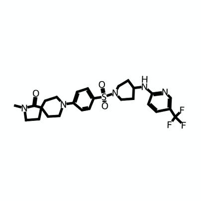 CN1CCC2(CCN(c3ccc(S(=O)(=O)N4CCC(Nc5ccc(C(F)(F)F)cn5)CC4)cc3)CC2)C1=O